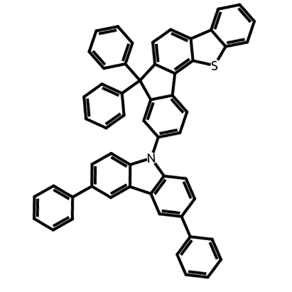 c1ccc(-c2ccc3c(c2)c2cc(-c4ccccc4)ccc2n3-c2ccc3c(c2)C(c2ccccc2)(c2ccccc2)c2ccc4c(sc5ccccc54)c2-3)cc1